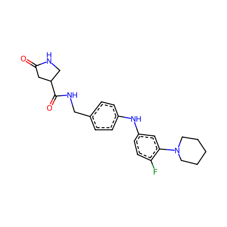 O=C1CC(C(=O)NCc2ccc(Nc3ccc(F)c(N4CCCCC4)c3)cc2)CN1